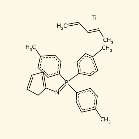 C=CC=CC.Cc1ccc(P(=NC2=CC=CC2)(c2ccc(C)cc2)c2ccc(C)cc2)cc1.[Ti]